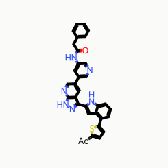 CC(=O)c1ccc(-c2cccc3[nH]c(-c4n[nH]c5ncc(-c6cncc(NC(=O)Cc7ccccc7)c6)cc45)cc23)s1